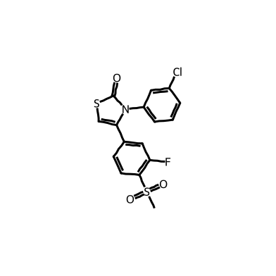 CS(=O)(=O)c1ccc(-c2csc(=O)n2-c2cccc(Cl)c2)cc1F